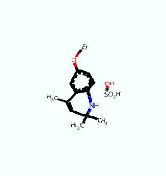 CCOc1ccc2c(c1)C(C)=CC(C)(C)N2.O=S(=O)(O)O